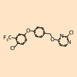 FC(F)(F)c1cc(Oc2ccc(COc3ccnc(Cl)n3)cc2)ccc1Cl